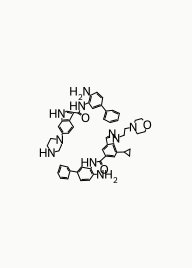 Nc1ccc(-c2ccccc2)cc1NC(=O)c1c[nH]c2cc(N3CCNCC3)ccc12.Nc1ccc(-c2ccccc2)cc1NC(=O)c1cc(C2CC2)c2c(cnn2CCN2CCOCC2)c1